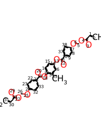 C=CC(=O)OCOc1ccc(C(=O)Oc2ccc(OC(=O)c3ccc(OCOC(=O)C=C)cc3)c(C)c2)cc1